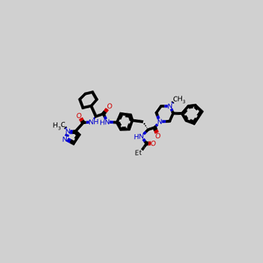 CCC(=O)N[C@H](Cc1ccc(NC(=O)[C@@H](NC(=O)c2ccnn2C)C2CCCCC2)cc1)C(=O)N1CCN(C)C(c2ccccc2)C1